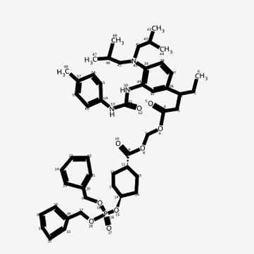 CCC(CC(=O)OCOC(=O)[C@H]1CC[C@H](OP(=O)(OCc2ccccc2)OCc2ccccc2)CC1)c1ccc(N(CC(C)C)CC(C)C)c(NC(=O)Nc2ccc(C)cc2)c1